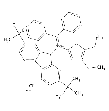 CCC1=C(CC)C[C]([Zr+2](=[C](c2ccccc2)c2ccccc2)[CH]2c3cc(C(C)(C)C)ccc3-c3ccc(C(C)(C)C)cc32)=C1.[Cl-].[Cl-]